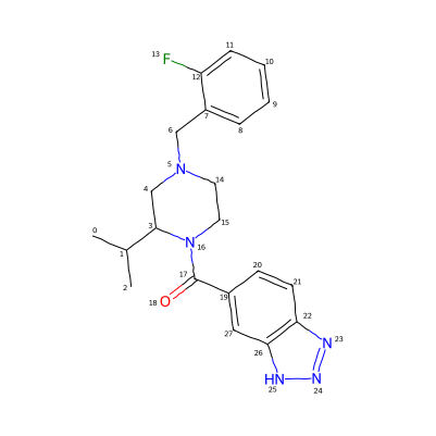 CC(C)C1CN(Cc2ccccc2F)CCN1C(=O)c1ccc2nn[nH]c2c1